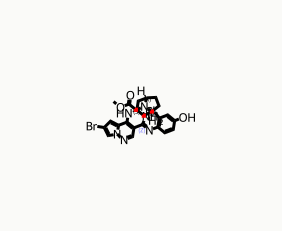 COC(=O)CN1[C@@H]2CC[C@H]1C[C@H](Nc1c(/C(N)=N/c3ccc(O)cc3Cl)cnn3cc(Br)cc13)C2